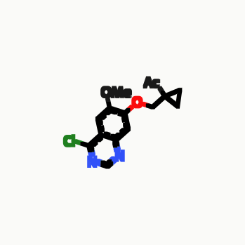 COc1cc2c(Cl)ncnc2cc1OCC1(C(C)=O)CC1